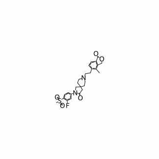 Cc1c(CCN2CCC3(CC2)CC(=O)N(c2ccc(S(C)(=O)=O)c(F)c2)C3)ccc2c1COC2=O